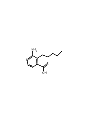 CCCCCc1c(C(=O)O)ccnc1N